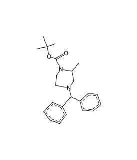 CC1CN(C(c2ccccc2)c2ccccc2)CCN1C(=O)OC(C)(C)C